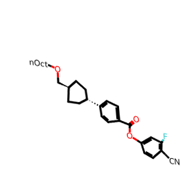 CCCCCCCCOC[C@H]1CC[C@H](c2ccc(C(=O)Oc3ccc(C#N)c(F)c3)cc2)CC1